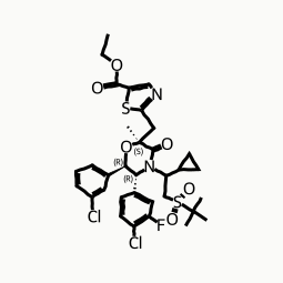 CCOC(=O)c1cnc(C[C@]2(C)O[C@H](c3cccc(Cl)c3)[C@@H](c3ccc(Cl)c(F)c3)N(C(CS(=O)(=O)C(C)(C)C)C3CC3)C2=O)s1